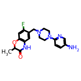 CC1Oc2cc(F)c(CN3CCN(c4ccc(N)cn4)CC3)cc2NC1=O